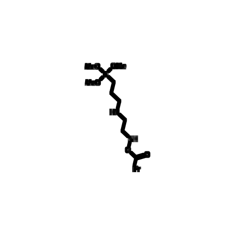 CO[Si](CCCNCCNOC(=O)C(C)C)(OC)OC